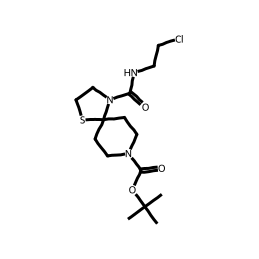 CC(C)(C)OC(=O)N1CCC2(CC1)SCCN2C(=O)NCCCl